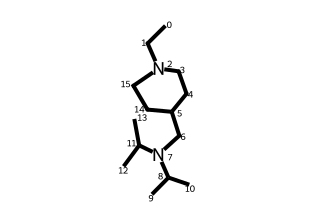 CCN1CCC(CN(C(C)C)C(C)C)CC1